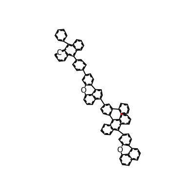 c1ccc(-c2cc(-c3ccc4c5c(cccc35)Oc3cc(-c5ccc(-c6c7ccccc7c(-c7ccccc7)c7ccccc67)cc5)ccc3-4)ccc2-c2c3ccccc3c(-c3ccc4c(c3)Oc3cccc5cccc-4c35)c3ccccc23)cc1